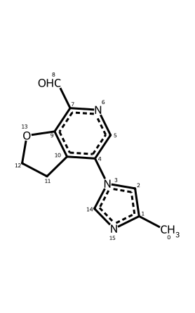 Cc1cn(-c2cnc(C=O)c3c2CCO3)cn1